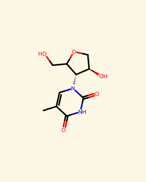 Cc1cn([C@@H]2C(CO)OC[C@H]2O)c(=O)[nH]c1=O